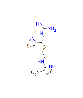 N=C(N)NCC(SCCNc1[nH]ccc1[N+](=O)[O-])c1cscn1